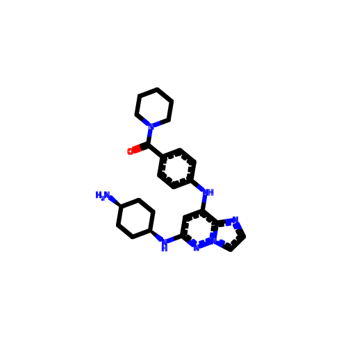 N[C@H]1CC[C@@H](Nc2cc(Nc3ccc(C(=O)N4CCCCC4)cc3)c3nccn3n2)CC1